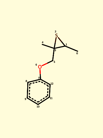 CC1SC1(C)COc1ccccc1